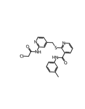 Cc1cccc(NC(=O)c2cccnc2SCc2ccnc(NC(=O)CCl)c2)c1